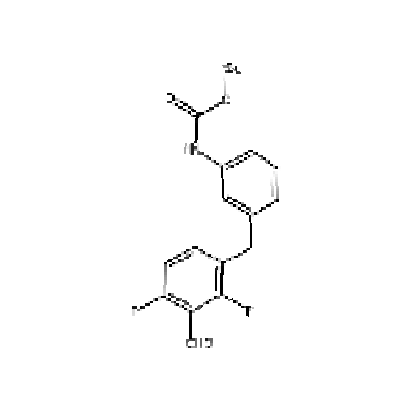 CC(C)(C)OC(=O)Nc1cccc(Cc2ccc(F)c(C=O)c2F)c1